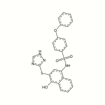 O=S(=O)(Nc1cc(Sc2nc[nH]n2)c(O)c2ccccc12)c1ccc(Oc2ccccc2)cc1